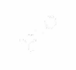 Nc1nc(CCc2ccncc2)c[nH]1